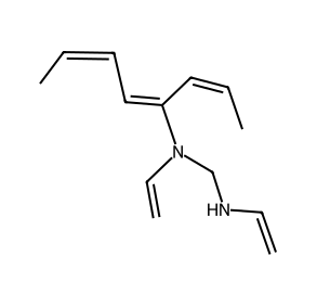 C=CNCN(C=C)C(/C=C\C)=C/C=C\C